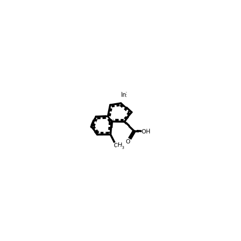 Cc1cccc2cccc(C(=O)O)c12.[In]